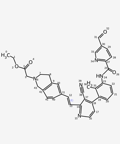 CCOC(=O)CN1CCc2cc(/C=C/c3nccc(-c4cccc(NC(=O)c5ccc(C=O)cn5)c4C)c3C#N)ccc2C1